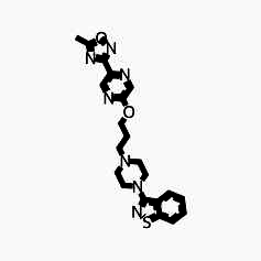 Cc1nc(-c2cnc(OCCCN3CCN(c4nsc5ccccc45)CC3)cn2)no1